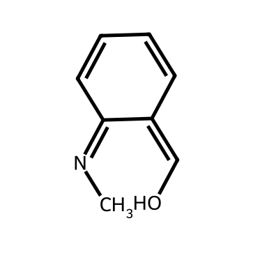 C/N=C1/C=CC=C/C1=C/O